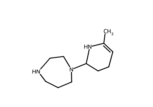 CC1=CCCC(N2CCCNCC2)N1